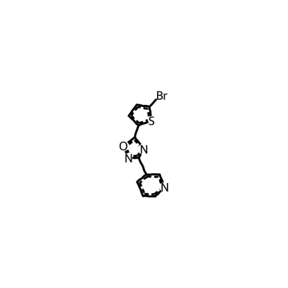 Brc1ccc(-c2nc(-c3cccnc3)no2)s1